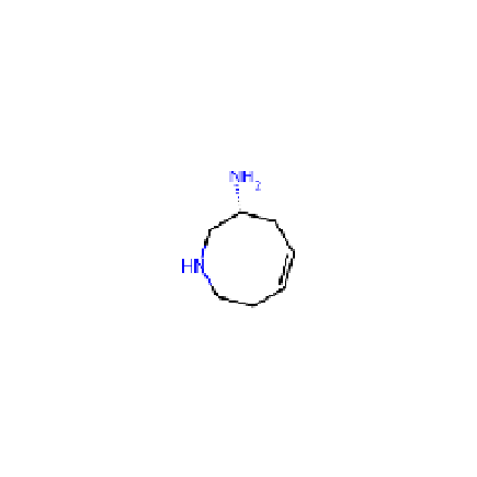 N[C@@H]1C/C=C\CCNC1